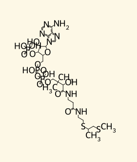 CSCC(C)SCCNC(=O)CCNC(=O)C(O)C(C)(C)COP(=O)(O)OP(=O)(O)OCC1OC(n2cnc3c(N)ncnc32)C(O)C1OP(=O)(O)O